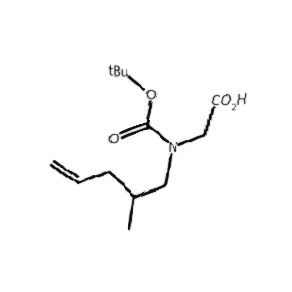 C=CCC(C)CN(CC(=O)O)C(=O)OC(C)(C)C